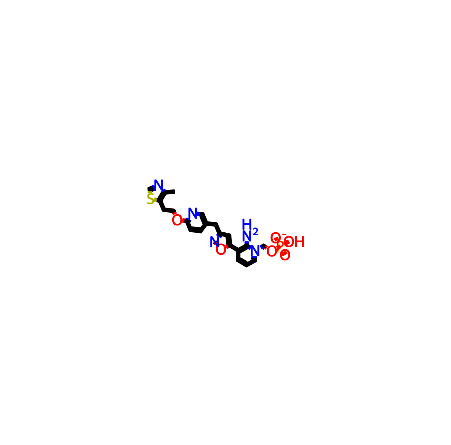 Cc1ncsc1CCOc1ccc(Cc2cc(-c3ccc[n+](COP(=O)([O-])O)c3N)on2)cn1